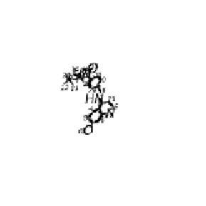 COc1ccc2c(NCc3ccc(S(C)(=O)=N[SiH](C)C(C)(C)C)cc3)ccnc2c1